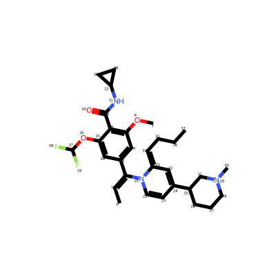 C/C=C(/c1cc(OC)c(C(=O)NC2CC2)c(OC(F)F)c1)N1C=CC(C2CCCN(C)C2)=C/C1=C\CCC